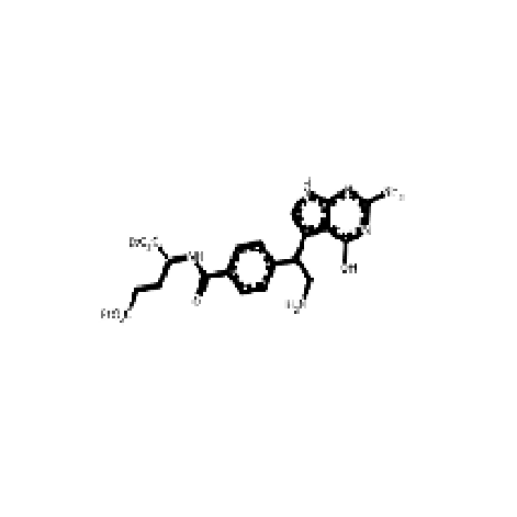 CCOC(=O)CC[C@H](NC(=O)c1ccc(C(CN)c2c[nH]c3nc(N)nc(O)c23)cc1)C(=O)OCC